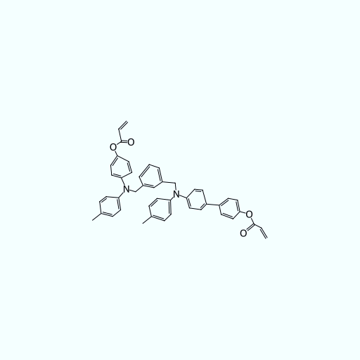 C=CC(=O)Oc1ccc(-c2ccc(N(Cc3cccc(CN(c4ccc(C)cc4)c4ccc(OC(=O)C=C)cc4)c3)c3ccc(C)cc3)cc2)cc1